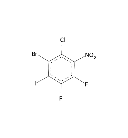 O=[N+]([O-])c1c(F)c(F)c(I)c(Br)c1Cl